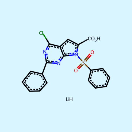 O=C(O)c1cc2c(Cl)nc(-c3ccccc3)nc2n1S(=O)(=O)c1ccccc1.[LiH]